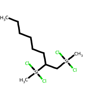 CCCCCCC(C[Si](C)(Cl)Cl)[Si](C)(Cl)Cl